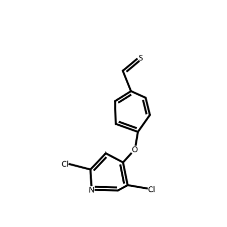 S=Cc1ccc(Oc2[c]c(Cl)ncc2Cl)cc1